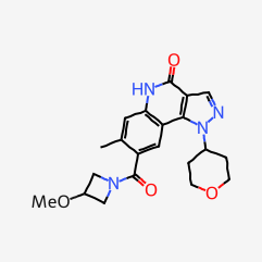 COC1CN(C(=O)c2cc3c(cc2C)[nH]c(=O)c2cnn(C4CCOCC4)c23)C1